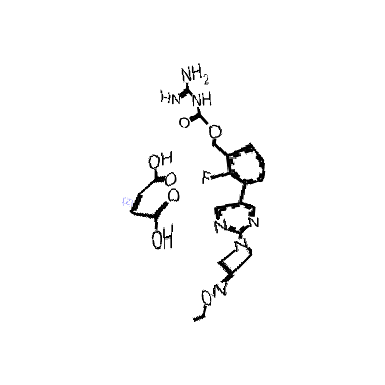 CCON=C1CN(c2ncc(-c3cccc(COC(=O)NC(=N)N)c3F)cn2)C1.O=C(O)/C=C\C(=O)O